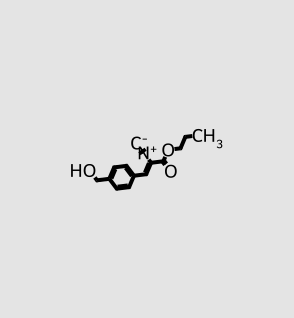 [C-]#[N+]/C(=C\c1ccc(CO)cc1)C(=O)OCCC